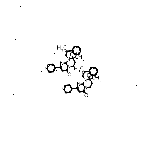 C[C@@H](CN1c2nc(-c3ccncc3)cc(=O)n2CCC1(C)C)c1ccccc1.C[C@H](CN1c2nc(-c3ccncc3)cc(=O)n2CCC1(C)C)c1ccccc1